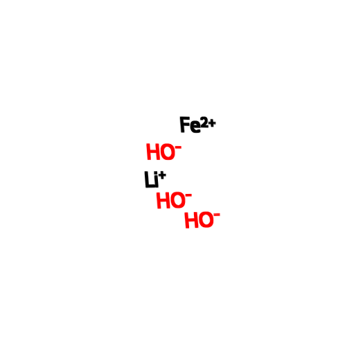 [Fe+2].[Li+].[OH-].[OH-].[OH-]